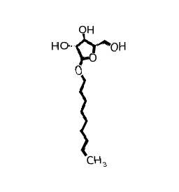 CCCCCCCCCOC1O[C@H](CO)[C@H](O)[C@H]1O